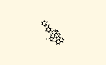 CC(C)N(C(=O)C(=C(C#N)C#N)C(C1Cc2cccc3cccc1c23)N1CCNC1)c1cccc(CN2CCCCC2)c1